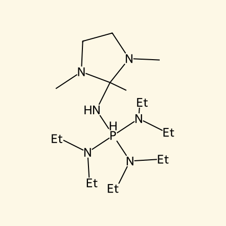 CCN(CC)[PH](NC1(C)N(C)CCN1C)(N(CC)CC)N(CC)CC